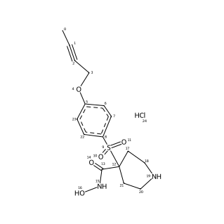 CC#CCOc1ccc(S(=O)(=O)C2(C(=O)NO)CCNCC2)cc1.Cl